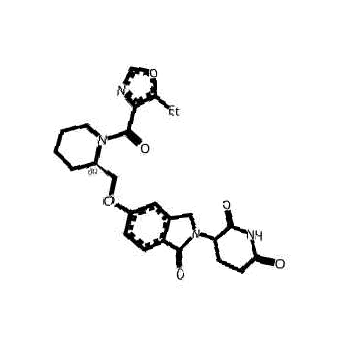 CCc1ocnc1C(=O)N1CCCC[C@@H]1COc1ccc2c(c1)CN(C1CCC(=O)NC1=O)C2=O